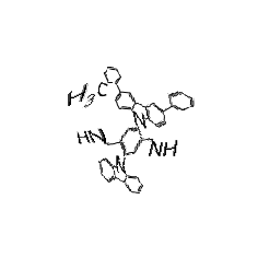 Cc1ccccc1-c1ccc2c(c1)c1cc(-c3ccccc3)ccc1n2-c1cc(C=N)c(-n2c3ccccc3c3ccccc32)cc1C=N